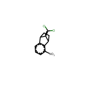 O=[N+]([O-])c1cccc2c1C1CCC2C1=C(Cl)Cl